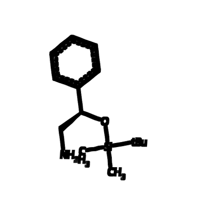 CC(C)(C)[Si](C)(C)O[C@@H](CN)c1ccccc1